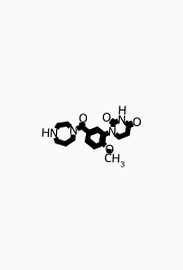 COc1ccc(C(=O)N2CCCNCC2)cc1N1CCC(=O)NC1=O